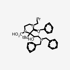 CC(C)CN1CCN(C(=O)O)C([C@@H](O)[C@H](Cc2ccccc2)N(Cc2ccccc2)Cc2ccccc2)(C(C)(C)C)C1=O